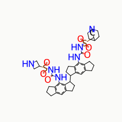 O=C(Nc1c2c(cc3c1C(C1CCc4c1cc1c(c4NC(=O)NS(=O)(=O)C4CN5CCC4CC5)CCC1)CC3)CCC2)NS(=O)(=O)C1CNC1